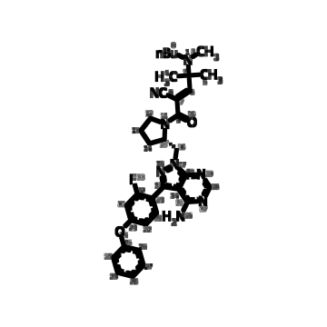 CCCCN(C)C(C)(C)/C=C(\C#N)C(=O)N1CCC[C@H]1Cn1nc(-c2ccc(Oc3ccccc3)cc2F)c2c(N)ncnc21